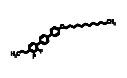 CCCCCCCCCCCCOc1ccc(-c2ccc(-c3ccc(CCC)c(F)c3F)cc2)cc1